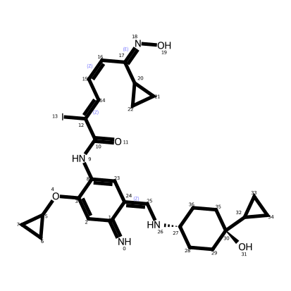 N=C1C=C(OC2CC2)C(NC(=O)/C(I)=C/C=C\C(=N\O)C2CC2)=C/C1=C/N[C@H]1CC[C@@](O)(C2CC2)CC1